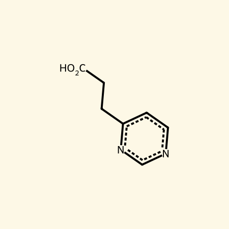 O=C(O)CCc1ccncn1